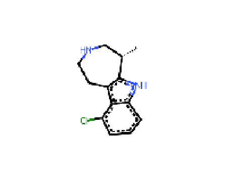 C[C@H]1CNCCc2c1[nH]c1cccc(Cl)c21